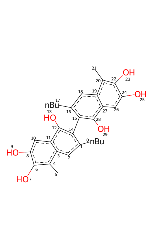 CCCCc1cc2c(C)c(O)c(O)cc2c(O)c1-c1c(CCCC)cc2c(C)c(O)c(O)cc2c1O